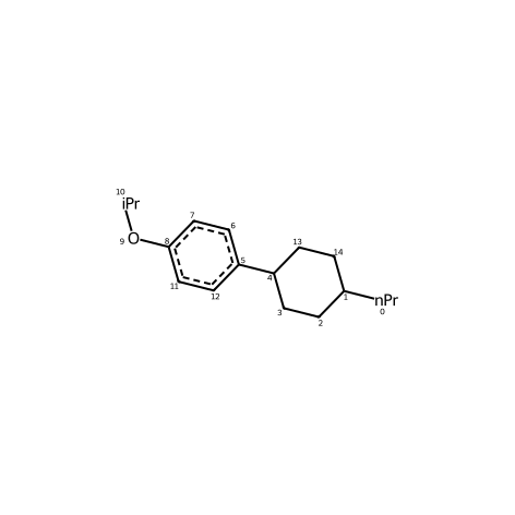 CCCC1CCC(c2ccc(OC(C)C)cc2)CC1